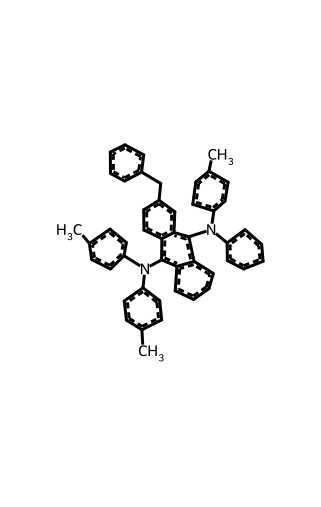 Cc1ccc(N(c2ccc(C)cc2)c2c3ccccc3c(N(c3ccccc3)c3ccc(C)cc3)c3cc(Cc4ccccc4)ccc23)cc1